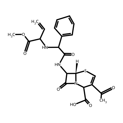 C=CC(NC(C(=O)NC1C(=O)N2C(C(=O)O)C(C(C)=O)=CS[C@@H]12)c1ccccc1)C(=O)OC